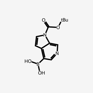 CC(C)(C)OC(=O)n1ccc2c(B(O)O)cncc21